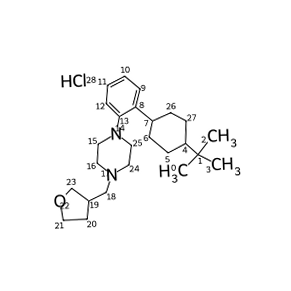 CC(C)(C)C1CCC(c2ccccc2N2CCN(CC3CCOC3)CC2)CC1.Cl